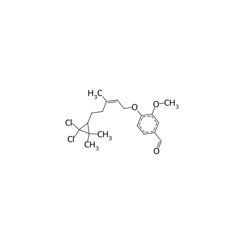 COc1cc(C=O)ccc1OCC=C(C)CCC1C(C)(C)C1(Cl)Cl